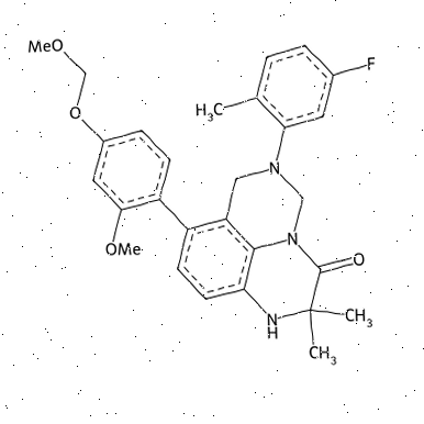 COCOc1ccc(-c2ccc3c4c2CN(c2cc(F)ccc2C)CN4C(=O)C(C)(C)N3)c(OC)c1